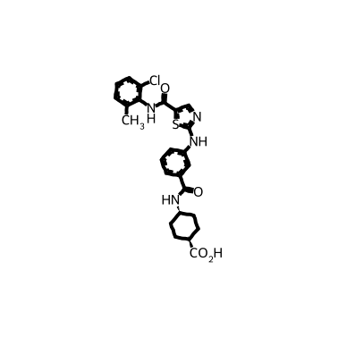 Cc1cccc(Cl)c1NC(=O)c1cnc(Nc2cccc(C(=O)N[C@H]3CC[C@H](C(=O)O)CC3)c2)s1